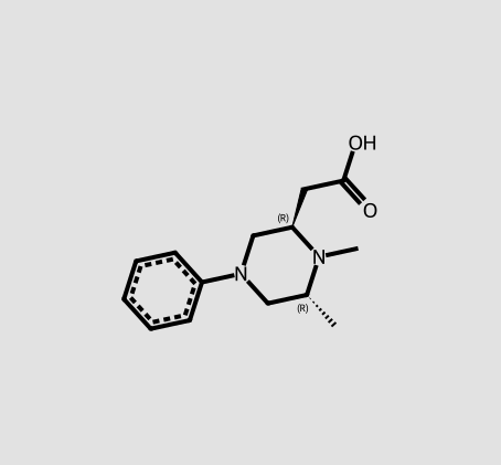 C[C@@H]1CN(c2ccccc2)C[C@@H](CC(=O)O)N1C